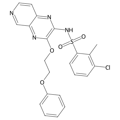 Cc1c(Cl)cccc1S(=O)(=O)Nc1nc2ccncc2nc1OCCOc1ccccc1